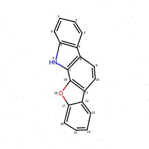 [c]1cccc2c1[nH]c1c2ccc2c3ccccc3oc21